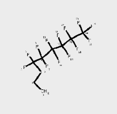 CC[I]C(F)(F)C(F)(F)C(F)(F)C(F)(F)C(F)(F)C(F)(F)F